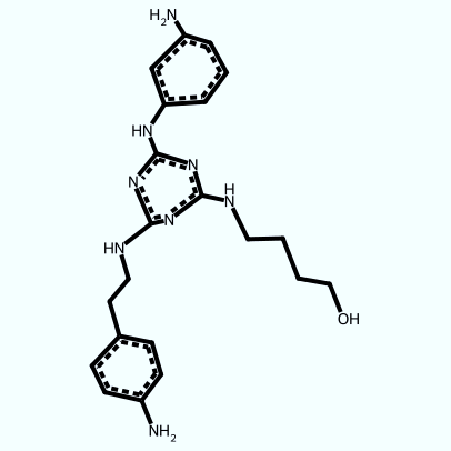 Nc1ccc(CCNc2nc(NCCCCO)nc(Nc3cccc(N)c3)n2)cc1